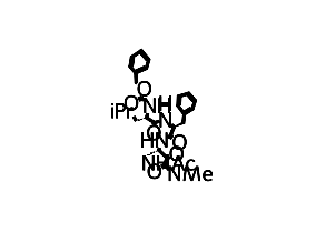 CNC(=O)C(=O)[C@H](CNC(C)=O)NC(=O)[C@H](Cc1ccccc1)NC(=O)[C@H](CC(C)C)NC(=O)OCc1ccccc1